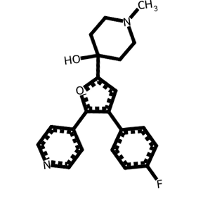 CN1CCC(O)(c2cc(-c3ccc(F)cc3)c(-c3ccncc3)o2)CC1